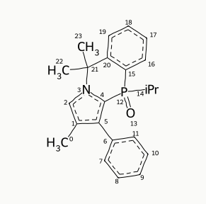 Cc1cn2c(c1-c1ccccc1)P(=O)(C(C)C)c1ccccc1C2(C)C